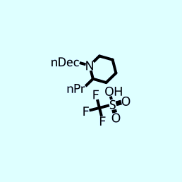 CCCCCCCCCCN1CCCCC1CCC.O=S(=O)(O)C(F)(F)F